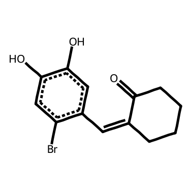 O=C1CCCCC1=Cc1cc(O)c(O)cc1Br